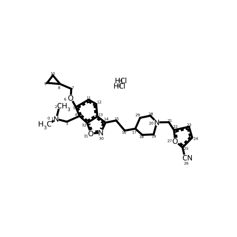 CN(C)Cc1c(OCC2CC2)ccc2c(CCC3CCN(Cc4ccc(C#N)o4)CC3)noc12.Cl.Cl